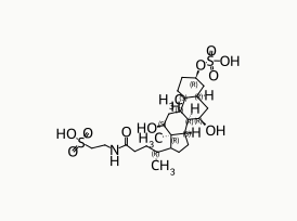 C[C@H](CCC(=O)NCCS(=O)(=O)O)C1CC[C@H]2[C@@H]3[C@H](O)C[C@@H]4C[C@H](OS(=O)(=O)O)CC[C@]4(C)[C@H]3C[C@H](O)[C@]12C